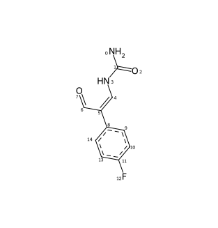 NC(=O)NC=C(C=O)c1ccc(F)cc1